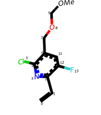 C=Cc1nc(Cl)c(COCOC)cc1F